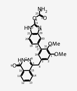 COc1cc(Cc2n[nH]c(=O)c3ccccc23)cc(-c2ccc3[nH]c(OC(N)=O)nc3c2)c1OC